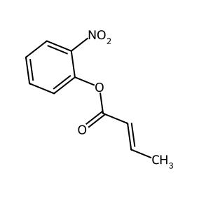 CC=CC(=O)Oc1ccccc1[N+](=O)[O-]